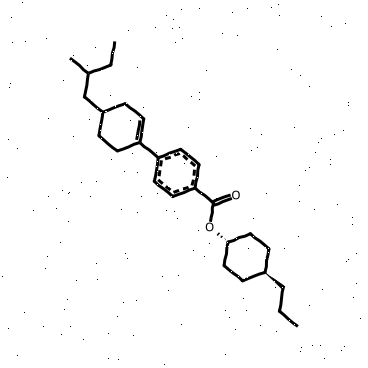 CCC[C@H]1CC[C@H](OC(=O)c2ccc(C3=CCC(CC(C)CC)CC3)cc2)CC1